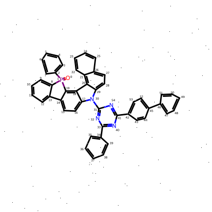 O=P1(c2ccccc2)c2ccccc2-c2ccc3c(c21)c1c2ccccc2ccc1n3-c1nc(-c2ccccc2)nc(-c2ccc(-c3ccccc3)cc2)n1